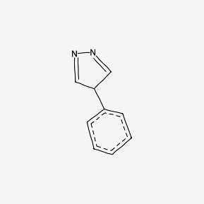 C1=NN=CC1c1ccccc1